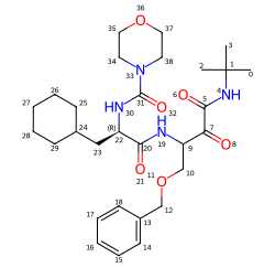 CC(C)(C)NC(=O)C(=O)C(COCc1ccccc1)NC(=O)[C@@H](CC1CCCCC1)NC(=O)N1CCOCC1